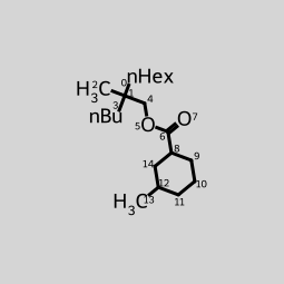 CCCCCCC(C)(CCCC)COC(=O)C1CCCC(C)C1